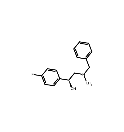 CN(Cc1ccccc1)C[C@@H](O)c1ccc(F)cc1